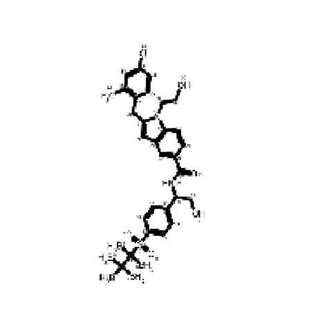 BC(B)(B)C(B)(B)S(=O)(=O)c1ccc([C@H](CO)NC(=O)c2ccc3c(c2)cc(Cc2ccc(Cl)cc2C(F)(F)F)n3CCO)cc1